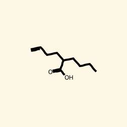 C=CCCC(CCCC)C(=O)O